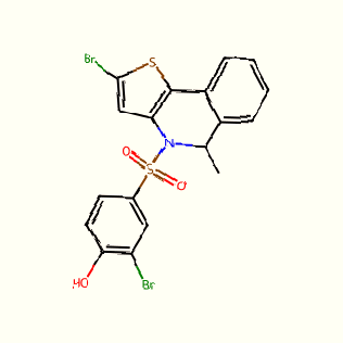 CC1c2ccccc2-c2sc(Br)cc2N1S(=O)(=O)c1ccc(O)c(Br)c1